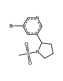 CS(=O)(=O)N1CCCC1c1cncc(Br)c1